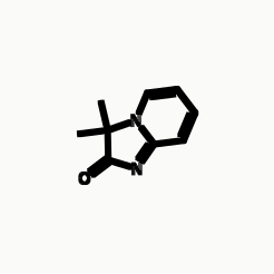 CC1(C)C(=O)N=C2C=CC=CN21